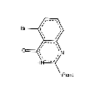 CCCCCc1nc2cccc(Br)c2c(=O)[nH]1